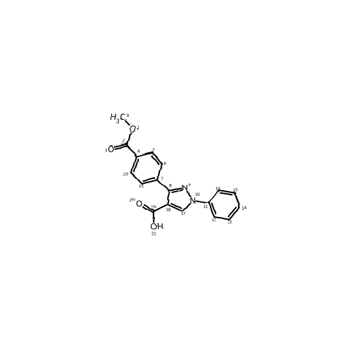 COC(=O)c1ccc(-c2nn(-c3ccccc3)cc2C(=O)O)cc1